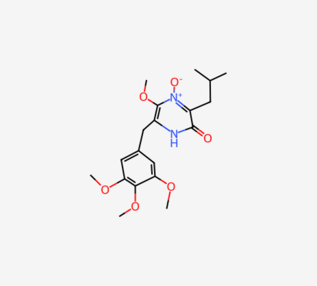 COc1cc(Cc2[nH]c(=O)c(CC(C)C)[n+]([O-])c2OC)cc(OC)c1OC